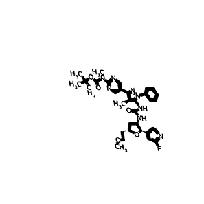 COCC[C@@H]1C[C@@H](NC(=O)Nc2c(C)c(-c3cnc(N(C)C(=O)OC(C)(C)C)nc3)nn2-c2ccccc2)[C@H](c2ccnc(F)c2)O1